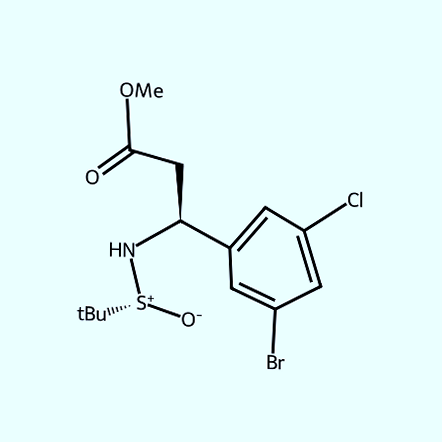 COC(=O)C[C@H](N[S@+]([O-])C(C)(C)C)c1cc(Cl)cc(Br)c1